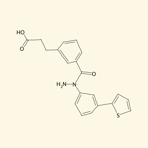 NN(C(=O)c1cccc(CCC(=O)O)c1)c1cccc(-c2cccs2)c1